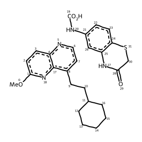 COc1ccc2nccc(CCC3CCCCC3)c2n1.O=C(O)Nc1ccc2c(c1)NC(=O)CS2